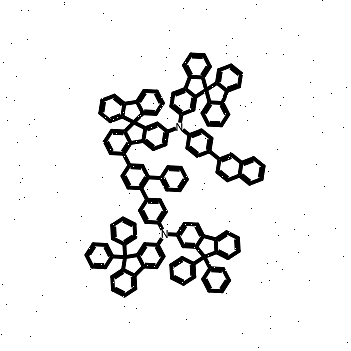 c1ccc(-c2cc(-c3cccc4c3-c3ccc(N(c5ccc(-c6ccc7ccccc7c6)cc5)c5ccc6c(c5)C5(c7ccccc7-c7ccccc75)c5ccccc5-6)cc3C43c4ccccc4-c4ccccc43)ccc2-c2ccc(N(c3ccc4c(c3)C(c3ccccc3)(c3ccccc3)c3ccccc3-4)c3ccc4c(c3)C(c3ccccc3)(c3ccccc3)c3ccccc3-4)cc2)cc1